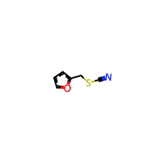 N#CSCc1ccco1